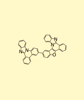 c1ccc2c(c1)nc1c3ccccc3c3cc(-c4ccc5oc6c7ccccc7c7nc8ccccc8n7c6c5c4)ccc3n21